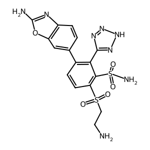 NCCS(=O)(=O)c1ccc(-c2ccc3nc(N)oc3c2)c(-c2nn[nH]n2)c1S(N)(=O)=O